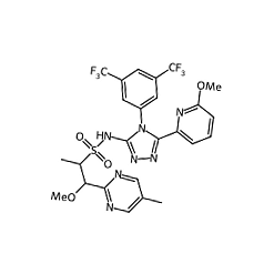 COc1cccc(-c2nnc(NS(=O)(=O)C(C)C(OC)c3ncc(C)cn3)n2-c2cc(C(F)(F)F)cc(C(F)(F)F)c2)n1